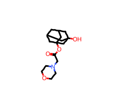 O=C(CN1CCOCC1)OC12CC3CC(CC(O)(C3)C1)C2